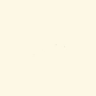 C=C(C)C(=O)OC(C)[Si](C)(C)O